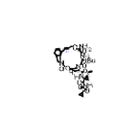 C=C[C@@H]1C[C@]1(NC(=O)[C@@H]1C[C@@H]2CN1C(=O)[C@H](C(C)(C)C)NC(=O)[C@@H](N)OC/C=C/c1cccc3c1CN(C3)C(=O)O2)C(=O)NS(=O)(=O)C1CC1